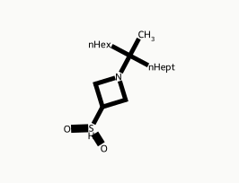 CCCCCCCC(C)(CCCCCC)N1CC([SH](=O)=O)C1